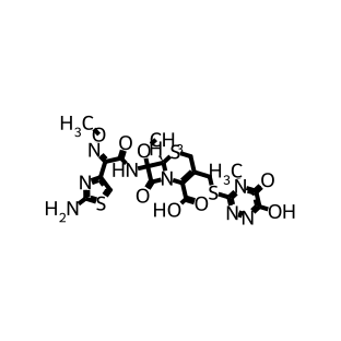 CO/N=C(\C(=O)NC1(OC)C(=O)N2C(C(=O)O)=C(CSc3nnc(O)c(=O)n3C)CS[C@@H]21)c1csc(N)n1